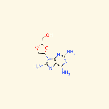 Nc1nc(N)c2nc(N)n(C3COC(CO)O3)c2n1